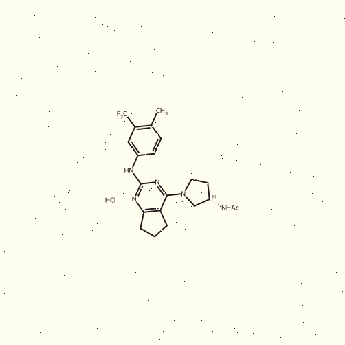 CC(=O)N[C@H]1CCN(c2nc(Nc3ccc(C)c(C(F)(F)F)c3)nc3c2CCC3)C1.Cl